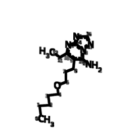 CCCCCOCCCc1c(CC)nc2ncnn2c1N